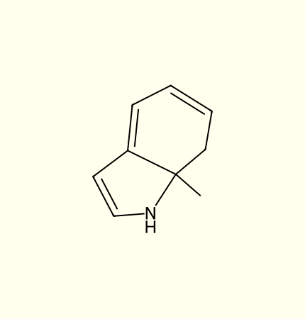 CC12CC=CC=C1C=CN2